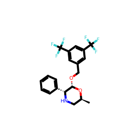 C[C@H]1CN[C@H](c2ccccc2)[C@H](OCc2cc(C(F)(F)F)cc(C(F)(F)F)c2)O1